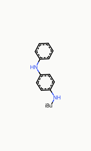 CCC(C)Nc1ccc(Nc2ccccc2)cc1